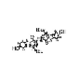 CC(C)(C)OC(=O)N[C@@H](Cc1ccc(O)cc1)C(=O)NCCNC(=O)[C@H](Cc1ccc(O)cc1)NC(=O)OC(C)(C)C